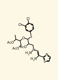 CC(=O)OCC(OC(Sc1ccc(Cl)c(Cl)c1)C(CN(N)/C=C(\N)c1nccs1)OC(C)=O)C(C)OC(C)=O